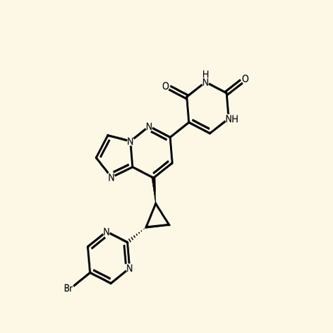 O=c1[nH]cc(-c2cc([C@H]3C[C@@H]3c3ncc(Br)cn3)c3nccn3n2)c(=O)[nH]1